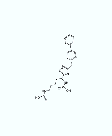 O=C(O)NCCCCC(NC(=O)O)c1nc(Cc2ccc(-c3ccccc3)cc2)no1